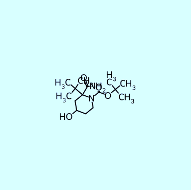 CC(C)(C)OC(=O)N1CCC(O)CC1(C(N)=O)C(C)(C)C